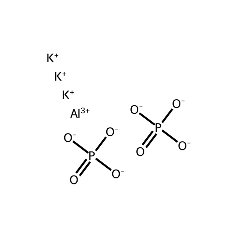 O=P([O-])([O-])[O-].O=P([O-])([O-])[O-].[Al+3].[K+].[K+].[K+]